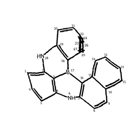 c1cc2c3c(c1)Nc1ccc4ccccc4c1B3c1c(ccc3ccccc13)N2